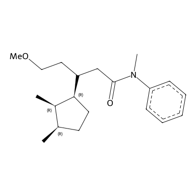 COCCC(CC(=O)N(C)c1ccccc1)[C@H]1CC[C@@H](C)[C@H]1C